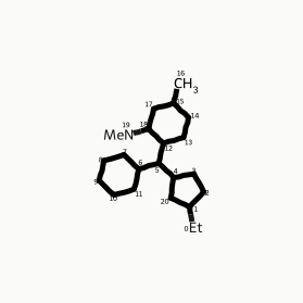 CCC1CCC(C(C2CCCCC2)C2CCC(C)CC2NC)C1